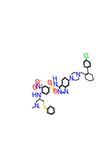 CN(C)CC(CSc1ccccc1)Nc1ccc(S(=O)(=O)Nc2ncnc3cc(N4CCN(CC5=C(c6ccc(Cl)cc6)CCCC5)CC4)ccc23)cc1[N+](=O)[O-]